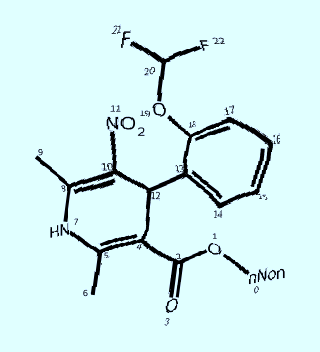 CCCCCCCCCOC(=O)C1=C(C)NC(C)=C([N+](=O)[O-])C1c1ccccc1OC(F)F